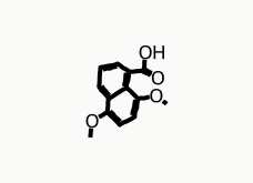 COc1ccc(OC)c2c(C(=O)O)cccc12